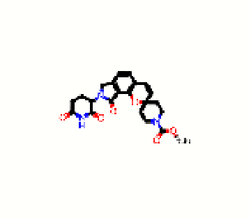 CC(C)(C)OC(=O)N1CCC2(C=Cc3ccc4c(c3O2)C(=O)N(C2CCC(=O)NC2=O)C4)CC1